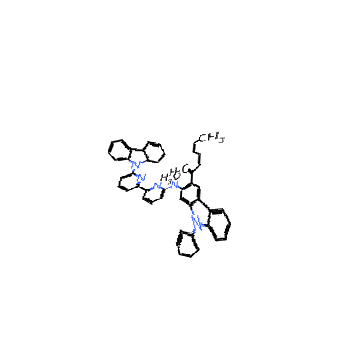 C=C(/C=C\C=C/C)c1cc2c3ccccc3n(-c3ccccc3)c2cc1N(C)c1cccc(-c2cccc(N3c4ccccc4C4C=CC=CC43)n2)n1